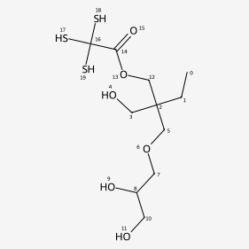 CCC(CO)(COCC(O)CO)COC(=O)C(S)(S)S